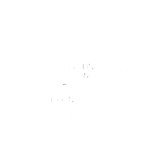 CCCCC[C@H](CN(O)C=O)C(=O)NNCc1ccccc1OC